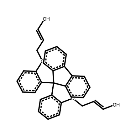 OC=CCOc1ccccc1C1(c2ccccc2OCC=CO)c2ccccc2-c2ccccc21